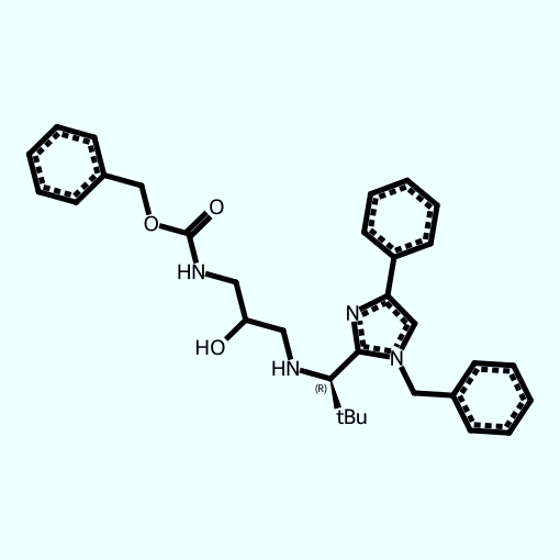 CC(C)(C)[C@@H](NCC(O)CNC(=O)OCc1ccccc1)c1nc(-c2ccccc2)cn1Cc1ccccc1